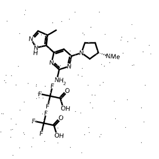 CN[C@H]1CCN(c2cc(-c3[nH]ncc3C)nc(N)n2)C1.O=C(O)C(F)(F)F.O=C(O)C(F)(F)F